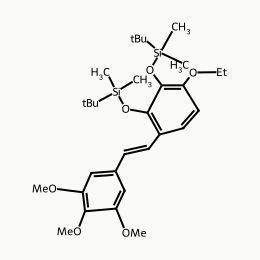 CCOc1ccc(C=Cc2cc(OC)c(OC)c(OC)c2)c(O[Si](C)(C)C(C)(C)C)c1O[Si](C)(C)C(C)(C)C